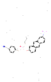 CCCSP(=O)(Oc1ccc2cc3ccc([N+](=O)[O-])cc3cc2c1)Sc1ccc(C#N)cc1